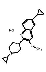 COc1cc2cc(C3CC3)ccc2nc1N1CCN(C2CC2)CC1.Cl